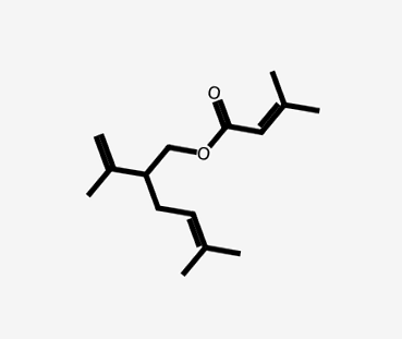 C=C(C)C(CC=C(C)C)COC(=O)C=C(C)C